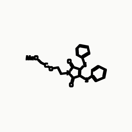 COCCOCCN1C(=O)C(Sc2ccccc2)=C(Sc2ccccc2)C1=O